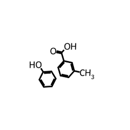 Cc1cccc(C(=O)O)c1.Oc1ccccc1